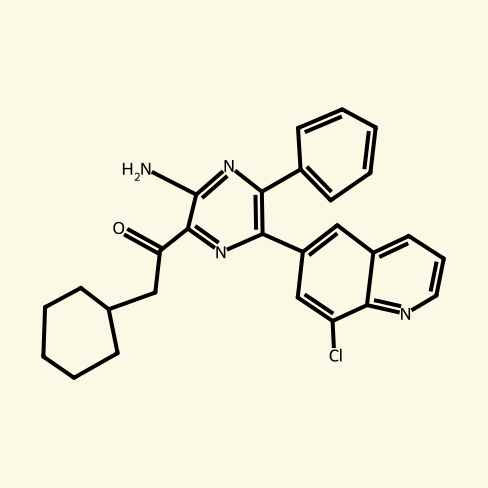 Nc1nc(-c2ccccc2)c(-c2cc(Cl)c3ncccc3c2)nc1C(=O)CC1CCCCC1